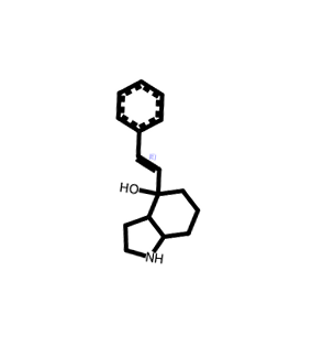 OC1(/C=C/c2ccccc2)CCCC2NCCC21